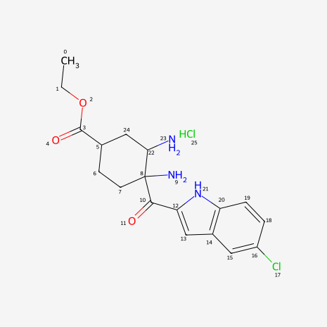 CCOC(=O)C1CCC(N)(C(=O)c2cc3cc(Cl)ccc3[nH]2)C(N)C1.Cl